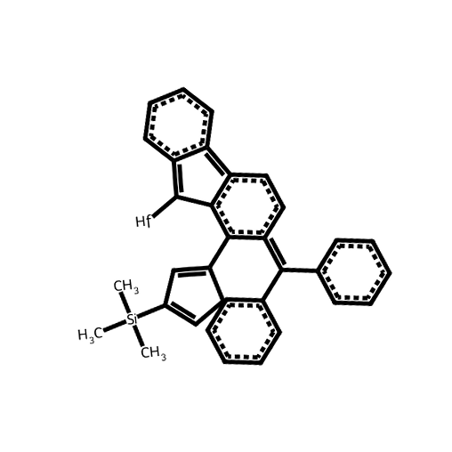 C[Si](C)(C)C1=CCC(c2c3c(ccc2=C(c2ccccc2)c2ccccc2)=c2ccccc2=[C]3[Hf])=C1